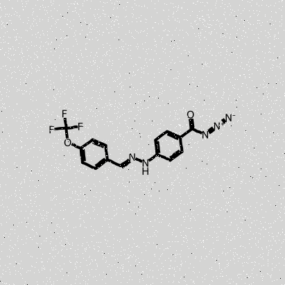 [N-]=[N+]=NC(=O)c1ccc(N/N=C/c2ccc(OC(F)(F)F)cc2)cc1